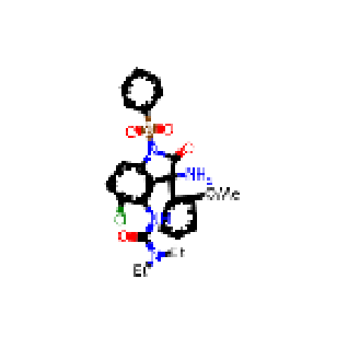 CCN(CC)C(=O)Nc1c(Cl)ccc2c1C(N)(c1ccccc1OC)C(=O)N2S(=O)(=O)c1ccccc1